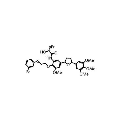 CCCN(O)C(=O)Nc1cc(C2CCC(c3cc(OC)c(OC)c(OC)c3)O2)cc(OC)c1OCCSc1cccc(Br)c1